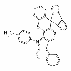 Cc1ccc(-n2c3ccc4ccccc4c3c3ccc4c(c32)Sc2ccccc2C42c3ccccc3-c3ccccc32)cc1